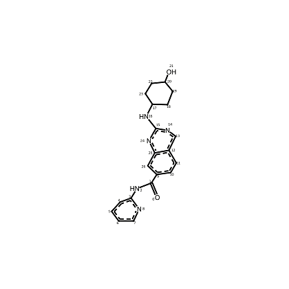 O=C(Nc1ccccn1)c1ccc2cnc(NC3CCC(O)CC3)nc2c1